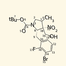 CC1CN(C(=O)OC(C)(C)C)[C@@H](Cc2cccc(Br)c2F)[C@@]1(CO)[N+](=O)[O-]